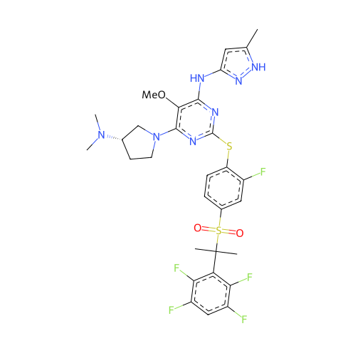 COc1c(Nc2cc(C)[nH]n2)nc(Sc2ccc(S(=O)(=O)C(C)(C)c3c(F)c(F)cc(F)c3F)cc2F)nc1N1CC[C@H](N(C)C)C1